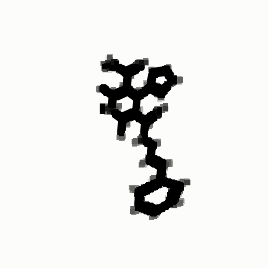 CC1=C(C(=O)O)C(c2ccoc2)C(C(=O)OCC=Cc2ccccc2)=C(C)N1